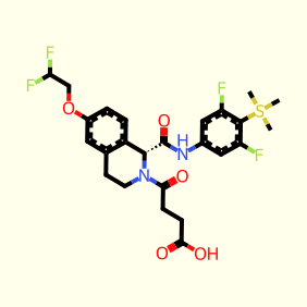 CS(C)(C)c1c(F)cc(NC(=O)[C@H]2c3ccc(OCC(F)F)cc3CCN2C(=O)CCC(=O)O)cc1F